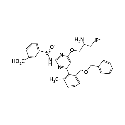 Cc1cccc(COCc2ccccc2)c1-c1cc(OC[C@H](N)CC(C)C)nc(N[S+]([O-])c2cccc(C(=O)O)c2)n1